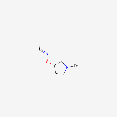 C/C=N/OC1CCN(CC)C1